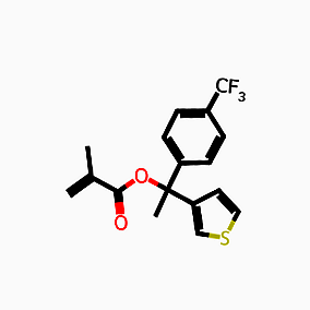 C=C(C)C(=O)OC(C)(c1ccc(C(F)(F)F)cc1)c1ccsc1